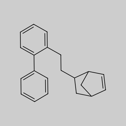 C1=CC2CC1CC2CCc1ccccc1-c1ccccc1